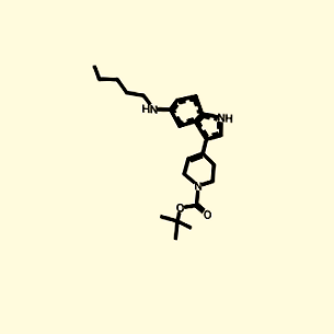 CCCCCNc1ccc2[nH]cc(C3=CCN(C(=O)OC(C)(C)C)CC3)c2c1